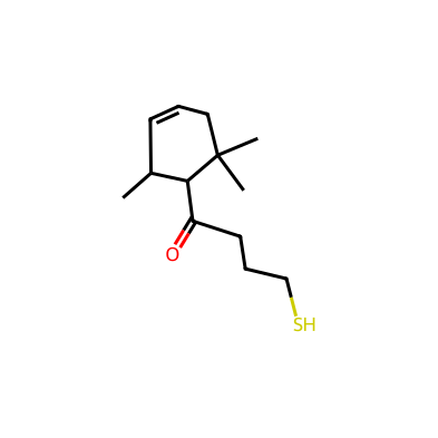 CC1C=CCC(C)(C)C1C(=O)CCCS